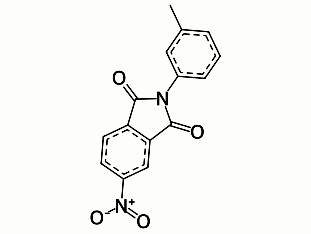 Cc1cccc(N2C(=O)c3ccc([N+](=O)[O-])cc3C2=O)c1